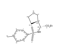 CCOC(=O)[C@H](NS(=O)(=O)c1ccc(C)cc1)[C@H]1CCOC1